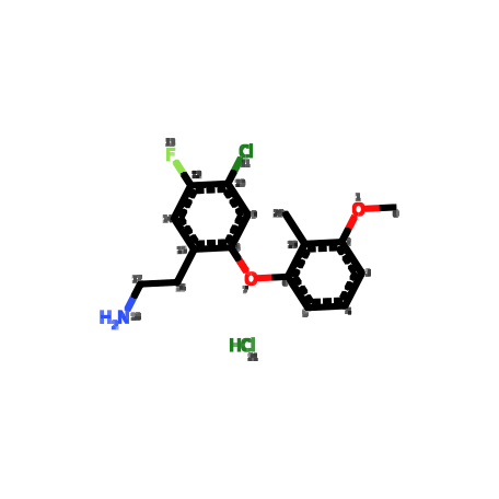 COc1cccc(Oc2cc(Cl)c(F)cc2CCN)c1C.Cl